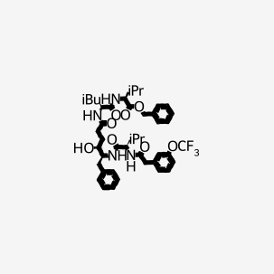 CC[C@H](C)[C@H](NC(=O)CC[C@H](O)[C@H](Cc1ccccc1)NC(=O)[C@@H](NC(=O)Cc1cccc(OC(F)(F)F)c1)C(C)C)C(=O)N[C@H](C(=O)OCc1ccccc1)C(C)C